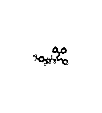 COC(=O)c1ccc(-c2nc(NC(=O)N(CCC3CCOCC3)CCC(c3ccccc3)c3ccccc3)sc2Cl)cc1